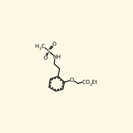 CCOC(=O)COc1ccccc1CCNS(C)(=O)=O